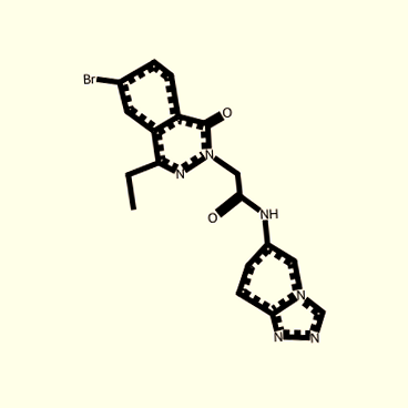 CCc1nn(CC(=O)Nc2ccc3nncn3c2)c(=O)c2ccc(Br)cc12